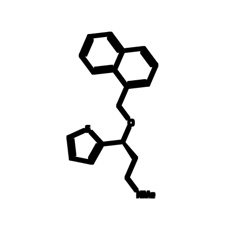 CNCC[C@H](OCc1cccc2ccccc12)c1cccs1